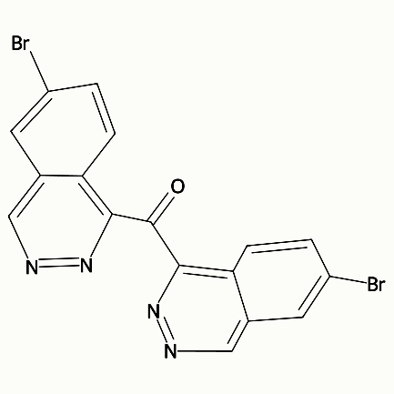 O=C(c1nncc2cc(Br)ccc12)c1nncc2cc(Br)ccc12